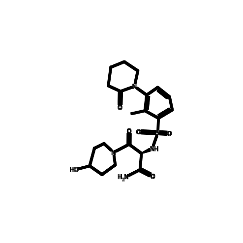 Cc1c(N2CCCCC2=O)cccc1S(=O)(=O)N[C@@H](C(N)=O)C(=O)N1CCC(O)CC1